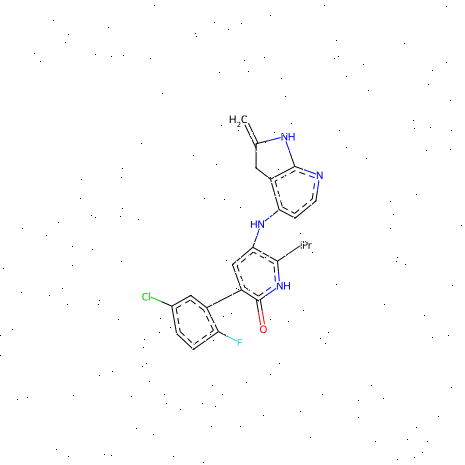 C=C1Cc2c(Nc3cc(-c4cc(Cl)ccc4F)c(=O)[nH]c3C(C)C)ccnc2N1